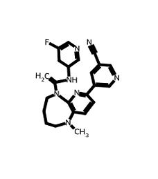 C=C(NC1C=NC=C(F)C1)N1CCCCN(C)c2ccc(-c3cncc(C#N)c3)nc21